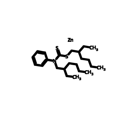 CCCCC(CC)CSC(=S)N(CC(CC)CCCC)c1ccccc1.[Zn]